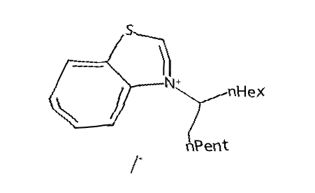 CCCCCCC(CCCCC)[n+]1csc2ccccc21.[I-]